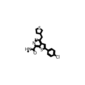 CNC(=O)c1nnc(CC2CCSC2)c2cc(-c3ccc(Cl)cc3)sc12